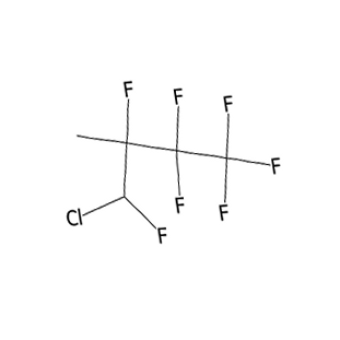 CC(F)(C(F)Cl)C(F)(F)C(F)(F)F